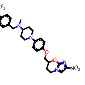 CN(Cc1ccc(OC(F)(F)F)cc1)C1CCN(c2ccc(OCC3CCn4cc([N+](=O)[O-])nc4O3)cc2)CC1